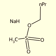 CCCCOS(C)(=O)=O.[NaH]